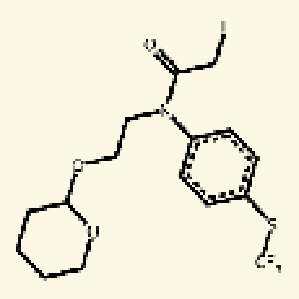 O=C(CF)N(CCOC1CCCCO1)c1ccc(SC(F)(F)F)cc1